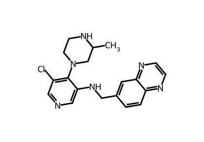 CC1CN(c2c(Cl)cncc2NCc2ccc3nccnc3c2)CCN1